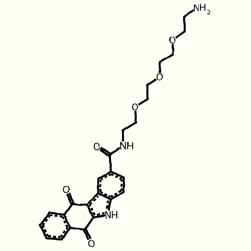 NCCOCCOCCOCCNC(=O)c1ccc2[nH]c3c(c2c1)C(=O)c1ccccc1C3=O